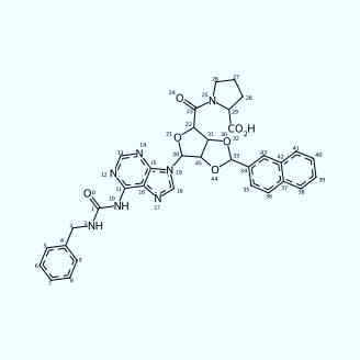 O=C(NCc1ccccc1)Nc1ncnc2c1ncn2C1OC(C(=O)N2CCCC2C(=O)O)C2OC(c3ccc4ccccc4c3)OC21